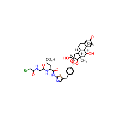 C[C@]12C=CC(=O)C=C1CC[C@@H]1[C@@H]2[C@@H](O)C[C@@]2(C)[C@H]1C[C@H]1O[C@@H](c3ccc(Cc4cnc(NC(=O)[C@H](CCC(=O)O)NC(=O)CNC(=O)CBr)s4)cc3)O[C@]12C(=O)CO